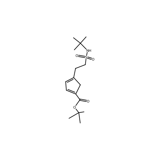 CC(C)(C)NS(=O)(=O)CCC1=CC=C(C(=O)OC(C)(C)C)C1